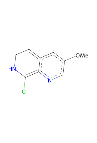 COc1cnc2c(c1)=CCNC=2Cl